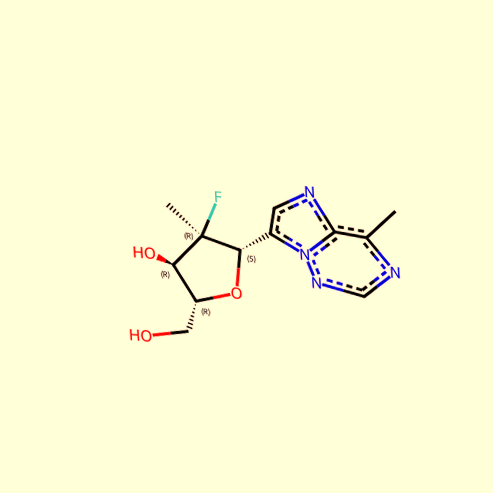 Cc1ncnn2c([C@@H]3O[C@H](CO)[C@@H](O)[C@@]3(C)F)cnc12